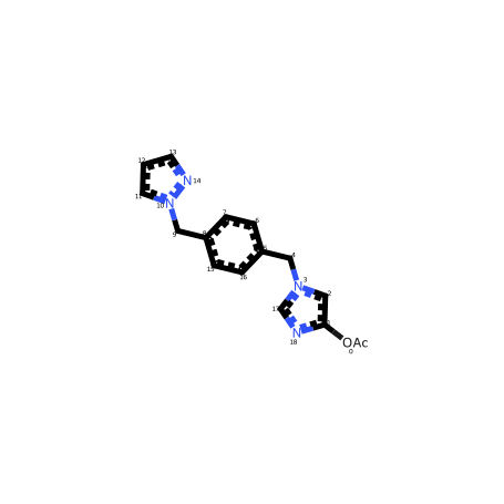 CC(=O)Oc1cn(Cc2ccc(Cn3cccn3)cc2)cn1